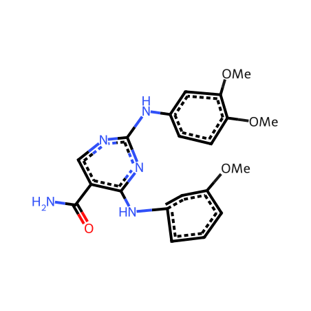 COc1cccc(Nc2nc(Nc3ccc(OC)c(OC)c3)ncc2C(N)=O)c1